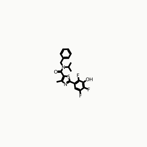 Cc1nc(-c2cc(F)c(F)c(O)c2F)sc1C(=O)N(Cc1ccccc1)C(C)C